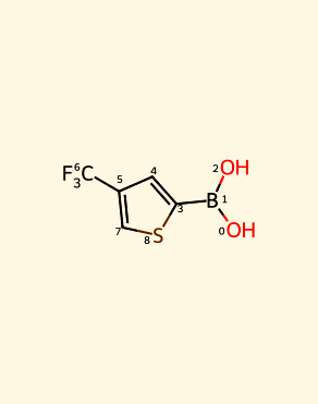 OB(O)c1cc(C(F)(F)F)cs1